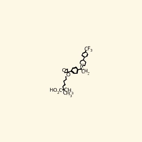 C=C(c1ccc(C2(OCCCCCC(C)(C)C(=O)O)COC2)cc1)N1CCC(c2ccc(C(F)(F)F)cc2)CC1